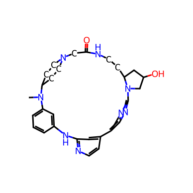 CN1c2cccc(c2)Nc2cc(ccn2)-c2cnc(nc2)N2CC(O)CC2CCNC(=O)CN2CCC1CC2